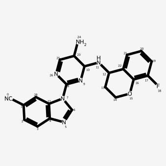 N#Cc1ccc2ncn(C3=NC(NC4CCOc5c(F)cccc54)C(N)C=N3)c2c1